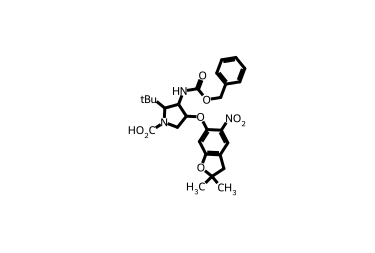 CC1(C)Cc2cc([N+](=O)[O-])c(OC3CN(C(=O)O)C(C(C)(C)C)C3NC(=O)OCc3ccccc3)cc2O1